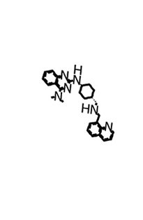 CN(C)c1nc(N[C@H]2CC[C@@H](CNCc3cccc4cccnc34)CC2)nc2ccccc12